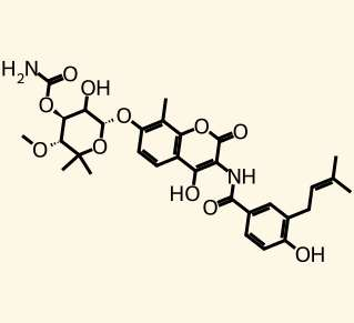 CO[C@@H]1[C@@H](OC(N)=O)C(O)[C@H](Oc2ccc3c(O)c(NC(=O)c4ccc(O)c(CC=C(C)C)c4)c(=O)oc3c2C)OC1(C)C